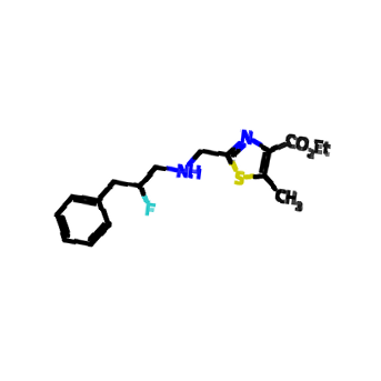 CCOC(=O)c1nc(CNCC(F)Cc2ccccc2)sc1C